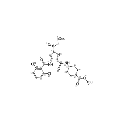 CCCCCCCCCCCC(=O)n1cc(NC(=O)c2c(Cl)cccc2Cl)c(C(=O)NC2CCN(C(=O)OC(C)(C)C)CC2)n1